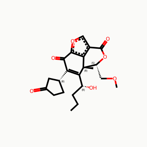 CCC[C@@H](O)C1=C([C@@H]2CCC(=O)C2)C(=O)c2occ3c2[C@]1(C)[C@@H](COC)OC3=O